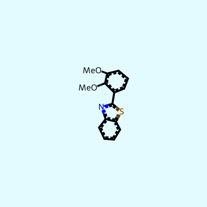 COc1cccc(-c2nc3ccccc3s2)c1OC